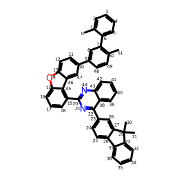 Cc1ccccc1-c1cc(-c2ccc3oc4cccc(-c5nc(-c6ccc7c(c6)C(C)(C)c6ccccc6-7)c6ccccc6n5)c4c3c2)ccc1C